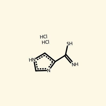 Cl.Cl.N=C(S)c1c[nH]cn1